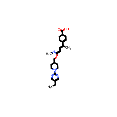 C=N/C(=C\C=C(/C)C1=CCC(C(=O)O)CC1)OCC1CCN(c2ncc(CC)cn2)CC1